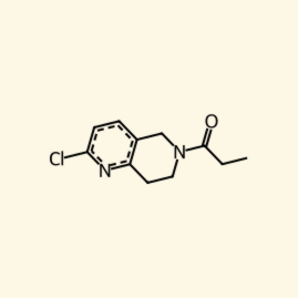 CCC(=O)N1CCc2nc(Cl)ccc2C1